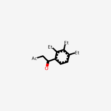 CCc1ccc(C(=O)CC(C)=O)c(CC)c1CC